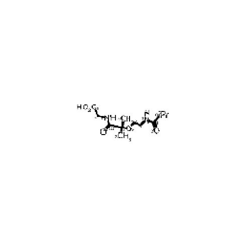 CC(C)C(=O)NCCOC(C)(C)C(=O)NCC(=O)O